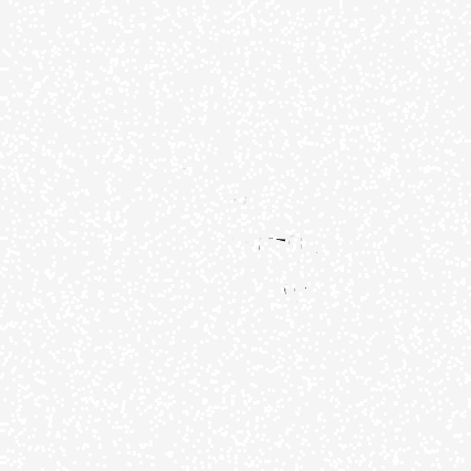 C[C@]1(CO)COC2(CCCCC2)O1